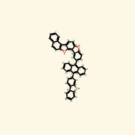 c1ccc2c(c1)ccc1oc3c(ccc4oc5ccc(-c6c7ccccc7c(-c7ccc8c(c7)sc7ccccc78)c7ccccc67)cc5c43)c12